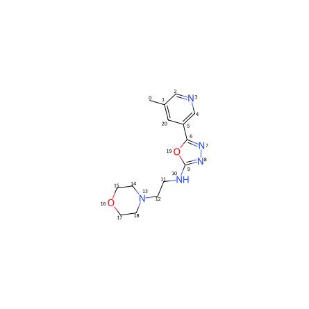 Cc1cncc(-c2nnc(NCCN3CCOCC3)o2)c1